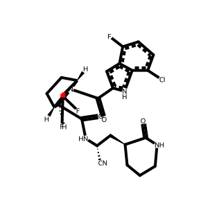 N#C[C@@H](C[C@@H]1CCCNC1=O)NC(=O)[C@H]1[C@@H]2CC[C@@H](CC2(F)F)N1C(=O)c1cc2c(F)ccc(Cl)c2[nH]1